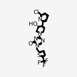 O=c1nc(N2CC=C(c3cccc(Cl)n3)[C@@H](O)C2)ncn1Cc1ccc(C(F)(F)F)s1